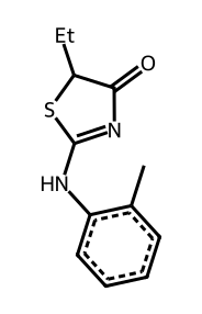 CCC1SC(Nc2ccccc2C)=NC1=O